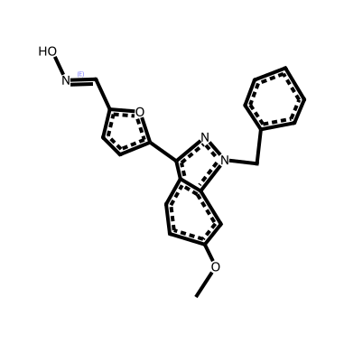 COc1ccc2c(-c3ccc(/C=N/O)o3)nn(Cc3ccccc3)c2c1